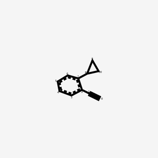 C#Cc1[c]cccc1C1CC1